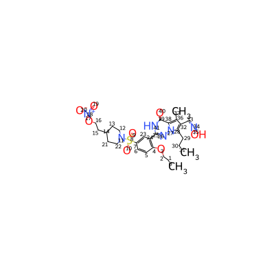 CCCOc1ccc(S(=O)(=O)N2CCC(CCO[N+](=O)[O-])CC2)cc1-c1nn2c(CCC)c(/C=N\O)c(C)c2c(=O)[nH]1